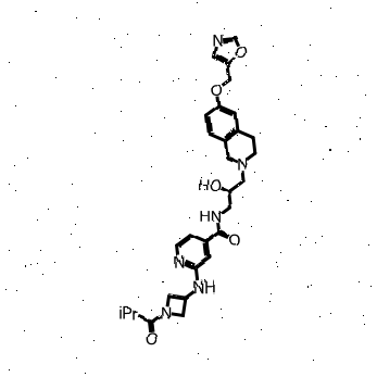 CC(C)C(=O)N1CC(Nc2cc(C(=O)NCC(O)CN3CCc4cc(OCc5cnco5)ccc4C3)ccn2)C1